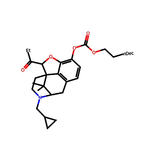 CCCCCCCCCCCCOC(=O)Oc1ccc2c3c1OC(C(=O)CC)C31CCN(CC3CC3)C(C2)C1(C)C